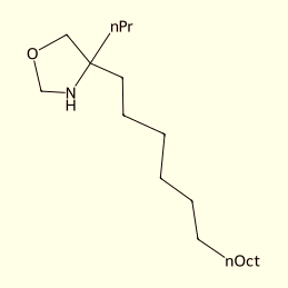 CCCCCCCCCCCCCCC1(CCC)COCN1